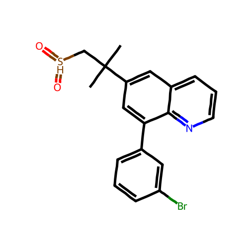 CC(C)(C[SH](=O)=O)c1cc(-c2cccc(Br)c2)c2ncccc2c1